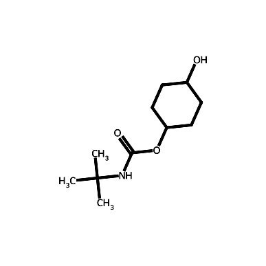 CC(C)(C)NC(=O)OC1CCC(O)CC1